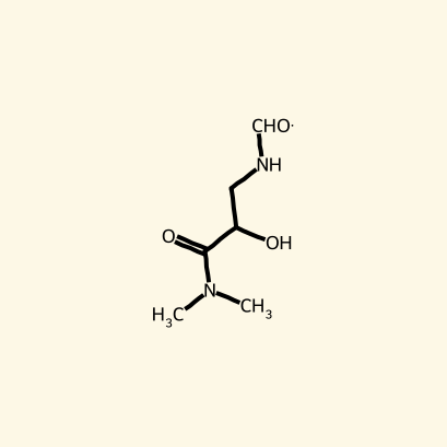 CN(C)C(=O)C(O)CN[C]=O